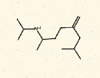 C=C(CCC(C)NC(C)C)CC(C)C